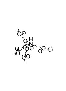 CC(C)(C)OC(=O)CCOCC(COCCC(=O)OC(C)(C)C)(COCCC(=O)OC(C)(C)C)NC(=O)CCCC(=O)OCc1ccccc1